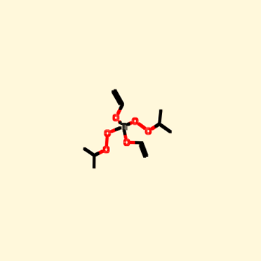 C=C[O][Ti]([O]C=C)([O]OC(C)C)[O]OC(C)C